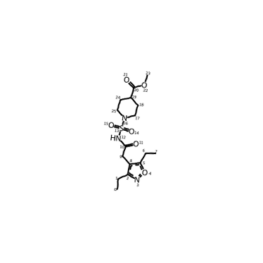 CCc1noc(CC)c1CC(=O)NS(=O)(=O)N1CCC(C(=O)OC)CC1